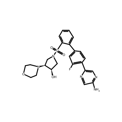 Nc1cnc(-c2ccc(-c3ccccc3S(=O)(=O)N3C[C@@H](O)[C@@H](N4CCOCC4)C3)cc2F)cn1